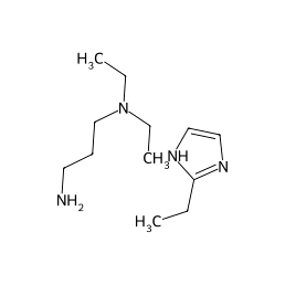 CCN(CC)CCCN.CCc1ncc[nH]1